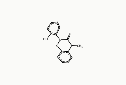 CC1C(=O)N(c2ccccc2O)Sc2ccccc21